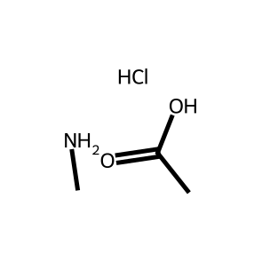 CC(=O)O.CN.Cl